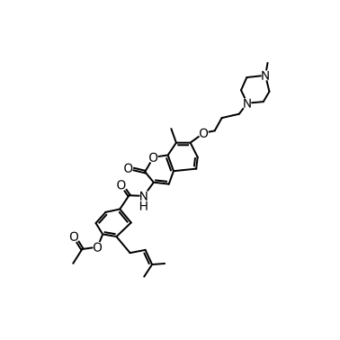 CC(=O)Oc1ccc(C(=O)Nc2cc3ccc(OCCCN4CCN(C)CC4)c(C)c3oc2=O)cc1CC=C(C)C